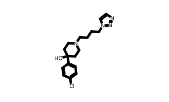 OC1(c2ccc(Cl)cc2)CCN(CCCCn2ccnn2)CC1